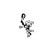 O=C(CBr)N[C@@H]1C(=O)N2C(C(=O)O)=C(C=CC[n+]3ccccc3)CS[C@H]12.[Br-]